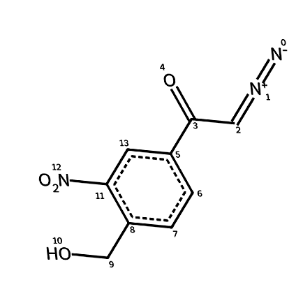 [N-]=[N+]=CC(=O)c1ccc(CO)c([N+](=O)[O-])c1